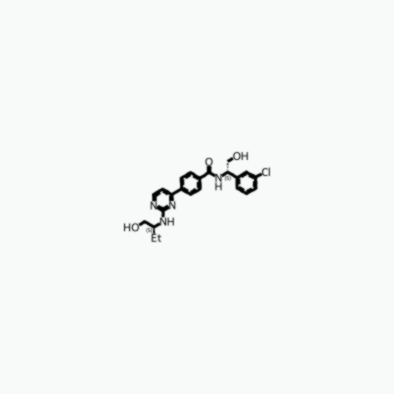 CC[C@@H](CO)Nc1nccc(-c2ccc(C(=O)N[C@H](CO)c3cccc(Cl)c3)cc2)n1